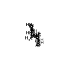 Cc1cc(Nc2cc(N3CCNCC3)n[nH]2)nc(Oc2ccc(NC(=O)NC3CCCC3)cc2C(F)(F)F)n1